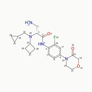 NC[C@H](C(=O)Nc1ccc(N2CCOCC2=O)cc1F)N(CC1CC1)C1CCC1